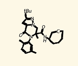 Cc1ccc(C)c(N2C(=O)c3cc(C(C)(C)C)nn3CC2(C)C(=O)NC2CCCCCC2)c1